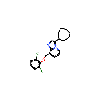 Clc1cccc(Cl)c1OCc1cccn2c(C3CCCCCC3)cnc12